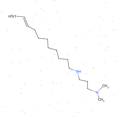 CCCCCCCCC=CCCCCCCCCNCCCN(C)C